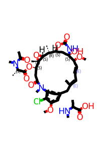 CNC(C)C(=O)O.COc1cc2cc(c1Cl)N(C)C(=O)C[C@H](OC(=O)[C@H](C)N(C)C(C)=O)[C@]1(C)O[C@H]1[C@H](C)[C@@H]1C[C@@](O)(NC(=O)O1)C(OC)/C=C/C=C(\C)C2